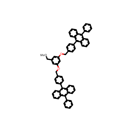 COCc1cc(OCc2ccc(-c3c4ccccc4c(-c4ccccc4)c4ccccc34)cc2)cc(OCc2ccc(-c3c4ccccc4c(-c4ccccc4)c4ccccc34)cc2)c1